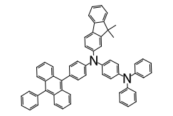 CC1(C)c2ccccc2-c2ccc(N(c3ccc(-c4c5ccccc5c(-c5ccccc5)c5ccccc45)cc3)c3ccc(N(c4ccccc4)c4ccccc4)cc3)cc21